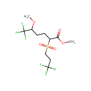 COC(=O)C(CCC(OC)C(F)(F)F)S(=O)(=O)CCC(F)(F)F